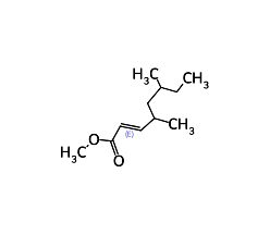 CCC(C)CC(C)/C=C/C(=O)OC